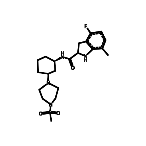 Cc1ccc(F)c2c1NC(C(=O)N[C@@H]1CCC[C@H](N3CCN(S(C)(=O)=O)CC3)C1)C2